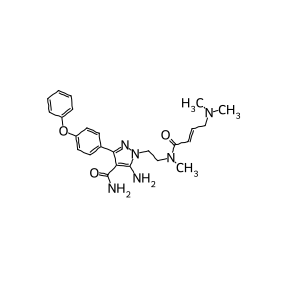 CN(C)CC=CC(=O)N(C)CCn1nc(-c2ccc(Oc3ccccc3)cc2)c(C(N)=O)c1N